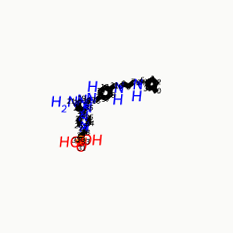 CC1CC[C@@H](CNCCCNCC2CCC(CNc3nc(N)cc(N4CCN(CCP(=O)(O)O)CC4)n3)CC2)C1